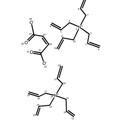 C=CC[N+](CC=C)(CC=C)CC=C.C=CC[N+](CC=C)(CC=C)CC=C.O=C([O-])/C=C\C(=O)[O-]